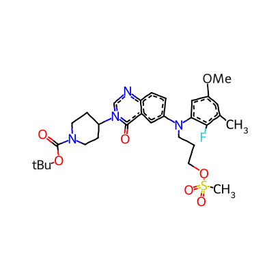 COc1cc(C)c(F)c(N(CCCOS(C)(=O)=O)c2ccc3ncn(C4CCN(C(=O)OC(C)(C)C)CC4)c(=O)c3c2)c1